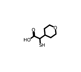 O=C(O)C(S)C1CCOCC1